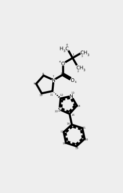 CC(C)(C)OC(=O)N1CCC[C@H]1c1ncc(-c2ccccc2)s1